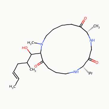 C/C=C/CC(C)C(O)C1C(=O)CCCN[C@@H](C(C)C)C(=O)CN[C@@H](C)C(=O)CCCCN1C